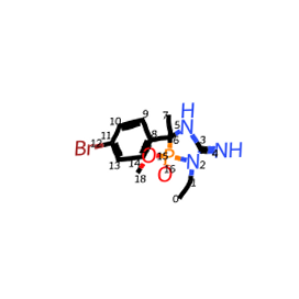 CCN1C(=N)NC(C)(c2ccc(Br)cc2)P1(=O)OC